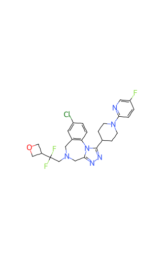 Fc1ccc(N2CCC(c3nnc4n3-c3ccc(Cl)cc3CN(CC(F)(F)C3COC3)C4)CC2)nc1